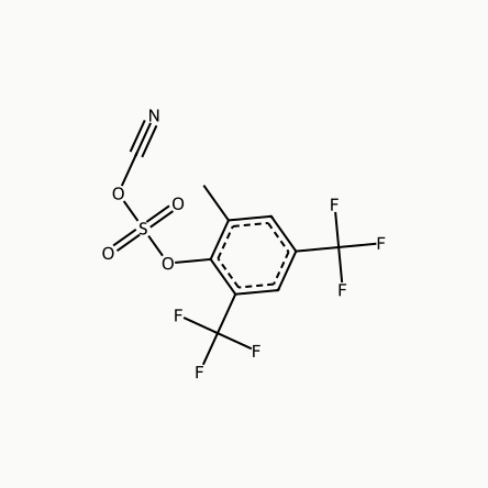 Cc1cc(C(F)(F)F)cc(C(F)(F)F)c1OS(=O)(=O)OC#N